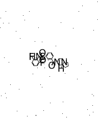 O=C(c1cccc(S(=O)(=O)Nc2c(F)cccc2F)c1)N1CCN2CCC[C@@H]2C1